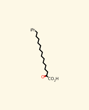 CC(C)CCCCCCCCCCCCCC(=O)C(=O)O